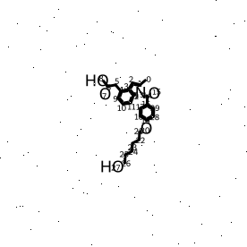 Cc1cc2c(CC(=O)O)cccc2n1C(=O)c1ccc(OCCCCCCO)cc1